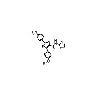 CCOc1ccc(-c2[nH]c(-c3ccc(N)cc3)nc2C(=O)Nc2nccs2)cc1